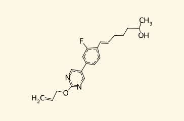 C=CCOc1ncc(-c2ccc(C=CCCCC(C)O)c(F)c2)cn1